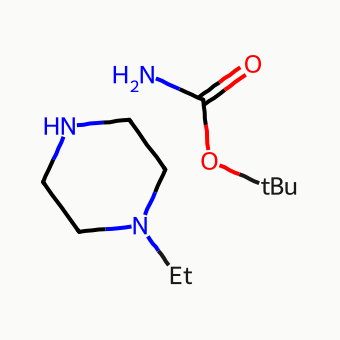 CC(C)(C)OC(N)=O.CCN1CCNCC1